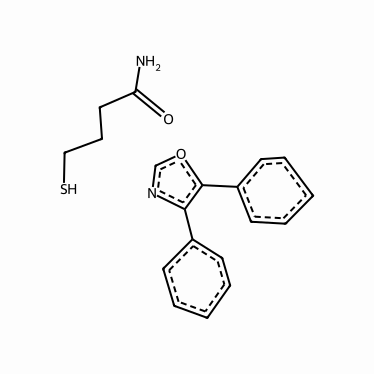 NC(=O)CCCS.c1ccc(-c2ncoc2-c2ccccc2)cc1